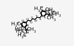 CCC(C)(C)c1cc(CCCCCCc2cc(C)c(O)c(C(C)(C)CC)c2)cc(C)c1O